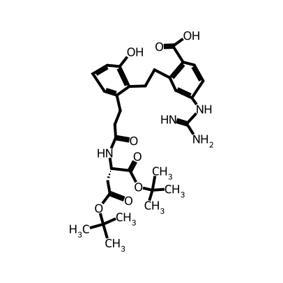 CC(C)(C)OC(=O)C[C@H](NC(=O)CCc1cccc(O)c1CCc1cc(NC(=N)N)ccc1C(=O)O)C(=O)OC(C)(C)C